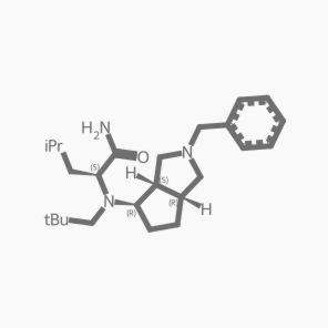 CC(C)C[C@@H](C(N)=O)N(CC(C)(C)C)[C@@H]1CC[C@H]2CN(Cc3ccccc3)C[C@H]21